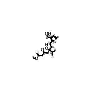 COC(=O)CC(=O)CC(O)(CCc1sccc1CO)C(C)C